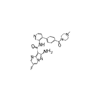 CN1CCN(C(=O)c2ccc(-c3ccncc3NC(=O)c3c(N)nn4cc(F)cnc34)cc2)CC1